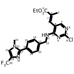 CCOC(=O)/C(C)=C/c1cnc(Cl)nc1NCc1ccc(-c2nc(C(F)(F)F)cn2C)cc1